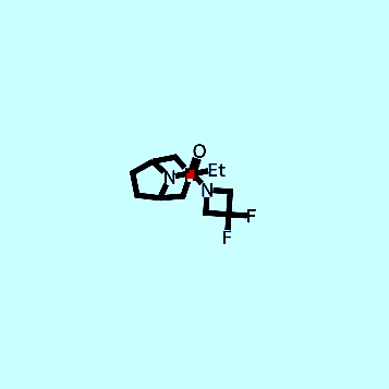 CCN1CC2CCC(C1)N2C(=O)N1CC(F)(F)C1